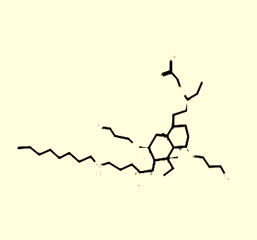 CCCCCCCCNCCC[C@@H](C)[C@H]1CC[C@H]2C3[C@H](OCCCN)CC[C@](C)(CC[C@H](CC)OCC(=O)O)[C@H]3C[C@H](OCCCN)[C@]12C